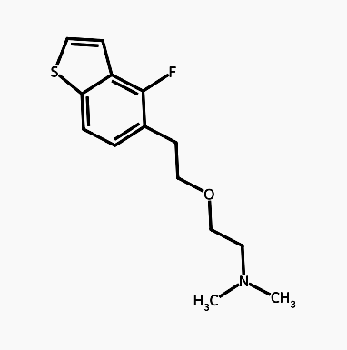 CN(C)CCOCCc1ccc2sccc2c1F